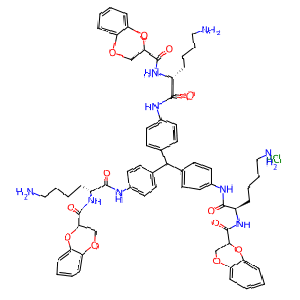 Cl.NCCCC[C@@H](NC(=O)C1COc2ccccc2O1)C(=O)Nc1ccc(C(c2ccc(NC(=O)[C@@H](CCCCN)NC(=O)C3COc4ccccc4O3)cc2)c2ccc(NC(=O)[C@@H](CCCCN)NC(=O)C3COc4ccccc4O3)cc2)cc1